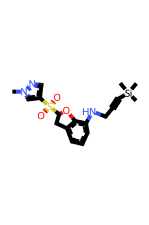 Cn1cc(S(=O)(=O)C2Cc3cccc(NCC#C[Si](C)(C)C)c3O2)cn1